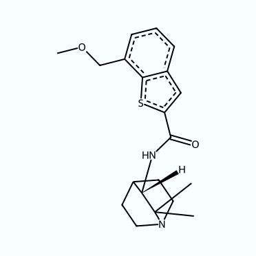 COCc1cccc2cc(C(=O)N[C@H]3C4CCN(CC4)C3(C)C)sc12